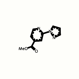 COC(=O)c1ccnc(-n2cccn2)c1